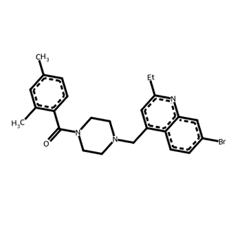 CCc1cc(CN2CCN(C(=O)c3ccc(C)cc3C)CC2)c2ccc(Br)cc2n1